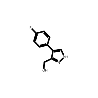 OCc1n[nH]cc1-c1ccc(F)cc1